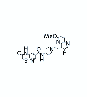 COc1ccc2ncc(F)c(CCN3CCC(NC(=O)c4cnc5c(c4)NC(=O)CS5)CC3)c2n1